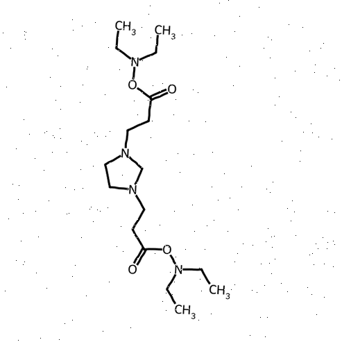 CCN(CC)OC(=O)CCN1CCN(CCC(=O)ON(CC)CC)C1